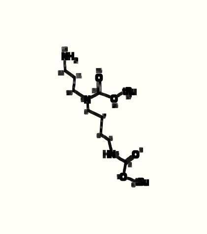 CC(C)(C)OC(=O)NCCCCN(CCCN)C(=O)OC(C)(C)C